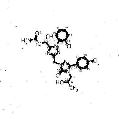 C[C@@H](OC(N)=O)c1nc(Cn2nc(-c3ccc(Cl)cc3)n(C[C@H](O)C(F)(F)F)c2=O)nn1-c1ccccc1Cl